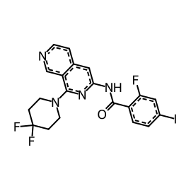 O=C(Nc1cc2ccncc2c(N2CCC(F)(F)CC2)n1)c1ccc(I)cc1F